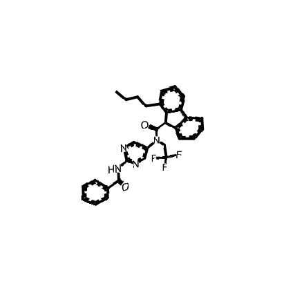 CCCCc1cccc2c1C(C(=O)N(CC(F)(F)F)c1cnc(NC(=O)c3ccccc3)nc1)c1ccccc1-2